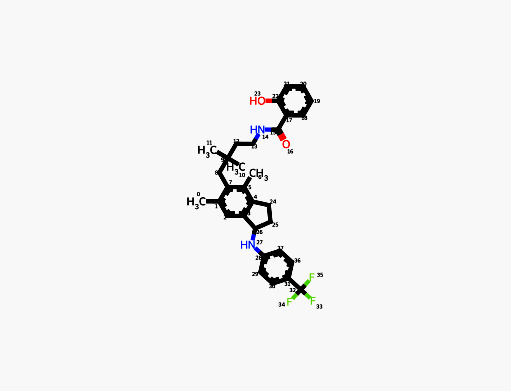 Cc1cc2c(c(C)c1CC(C)(C)CCNC(=O)c1ccccc1O)CCC2Nc1ccc(C(F)(F)F)cc1